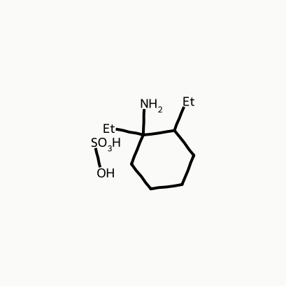 CCC1CCCCC1(N)CC.O=S(=O)(O)O